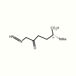 CN[C@H](CCC(=O)CN=N)C(=O)O